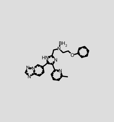 BN(CCOc1ccccc1)Cc1nc(-c2cccc(C)n2)c(-c2ccc3ncnn3c2)[nH]1